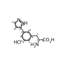 Cl.NC(Cc1cccc(-c2ccn[nH]2)c1)C(=O)O